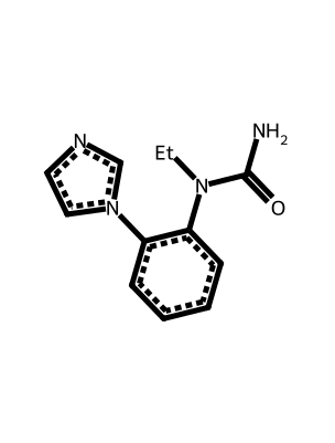 CCN(C(N)=O)c1ccccc1-n1ccnc1